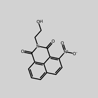 O=C1c2cccc3ccc([N+](=O)[O-])c(c23)C(=O)N1CCO